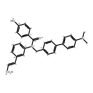 CN(C)c1ccc(-c2ccc(CN(C(=O)c3ccc(O)cc3)c3cccc(/C=C/C(=O)O)c3)cc2)cc1